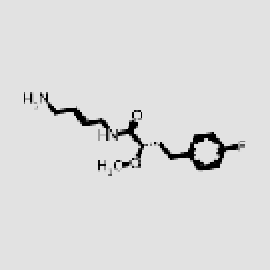 CO[C@@H](CCc1ccc(F)cc1)C(=O)NC/C=C/CN